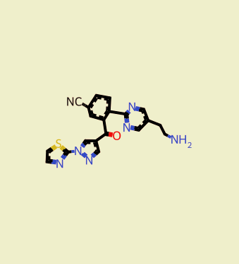 N#Cc1ccc(-c2ncc(CCN)cn2)c(C(=O)c2cnn(-c3nccs3)c2)c1